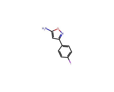 Nc1cc(-c2ccc(I)cc2)no1